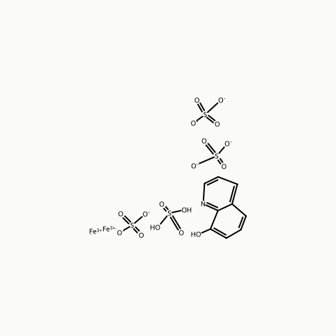 O=S(=O)(O)O.O=S(=O)([O-])[O-].O=S(=O)([O-])[O-].O=S(=O)([O-])[O-].Oc1cccc2cccnc12.[Fe+3].[Fe+3]